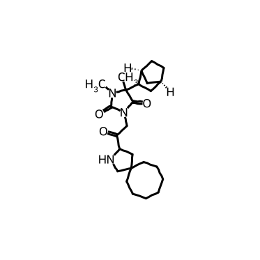 CN1C(=O)N(CC(=O)C2CC3(CCCCCCC3)CN2)C(=O)C1(C)C1C[C@@H]2CC[C@H]1C2